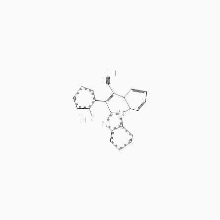 C#CC1=C(c2ccccc2C)c2nc3ccccc3n2C2C=CC=CC12